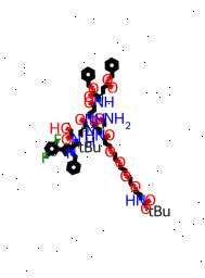 CC(C)(C)OC(=O)NCCOCCOCCOCCOCCC(=O)N[C@@H](CC(N)=O)C(=O)N[C@@H](CCN(C(=O)CO)[C@@H](c1cc(-c2cc(F)ccc2F)cn1Cc1ccccc1)C(C)(C)C)C(=O)NCCC(=O)N[C@H](CCC(=O)OCc1ccccc1)C(=O)OCc1ccccc1